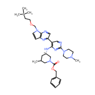 CC1C[C@H](Nc2nc(N3CCN(C)CC3)ncc2-c2cnc3c(ccn3COCC[Si](C)(C)C)n2)CN(C(=O)OCc2ccccc2)C1